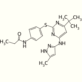 CCC(=O)Nc1ccc(Sc2nc(Nc3cc(C)[nH]n3)cc(C(C)(C)C)n2)cc1